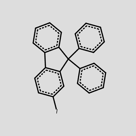 Ic1ccc2c(c1)C(c1ccccc1)(c1ccccc1)c1ccccc1-2